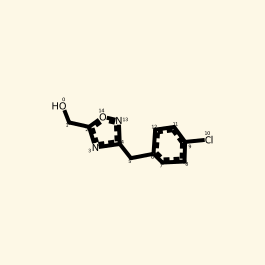 OCc1nc(Cc2ccc(Cl)cc2)no1